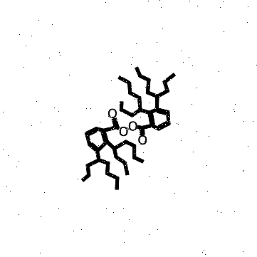 CCCCC(CCC)c1cccc(C(=O)OOC(=O)c2cccc(C(CCC)CCCC)c2C(CCC)CCCC)c1C(CCC)CCCC